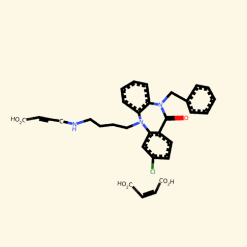 O=C(O)/C=C/CNCCCCN1c2cc(Cl)ccc2C(=O)N(Cc2ccccc2)c2ccccc21.O=C(O)/C=C\C(=O)O